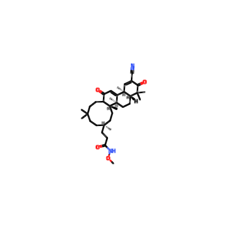 CONC(=O)CC[C@@]1(C)CCC(C)(C)CCC2C(=O)C=C3[C@@]4(C)C=C(C#N)C(=O)C(C)(C)[C@@H]4CC[C@@]3(C)[C@]2(C)CC1